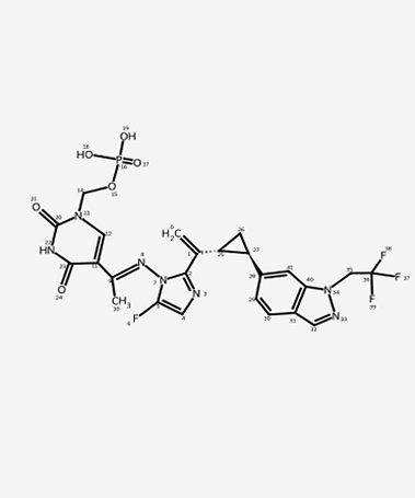 C=C(c1ncc(F)n1/N=C(\C)c1cn(COP(=O)(O)O)c(=O)[nH]c1=O)[C@@H]1C[C@H]1c1ccc2cnn(CC(F)(F)F)c2c1